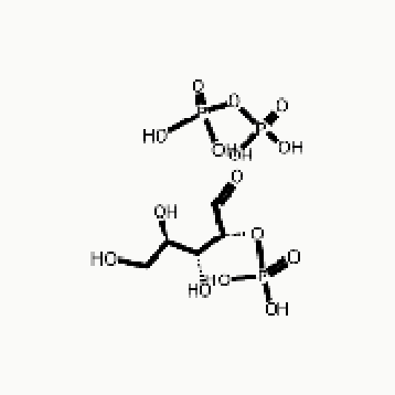 O=C[C@H](OP(=O)(O)O)[C@H](O)[C@H](O)CO.O=P(O)(O)OP(=O)(O)O